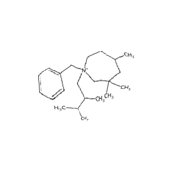 CC1CC[N+](Cc2ccccc2)(CC(C)C(C)C)CC(C)(C)C1